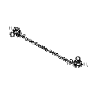 NS(=O)(=O)c1c(F)c(F)c(S(=O)(=O)CCNC(=O)CCOCCOCCOCCOCCOCCOCCOCCOCCOCCOCCOCCOCCOCCC(=O)NCCS(=O)(=O)c2c(F)c(F)c(S(N)(=O)=O)c(F)c2NC2CCCCCCC2)c(NC2CCCCCCC2)c1F